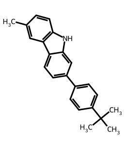 Cc1ccc2[nH]c3cc(-c4ccc(C(C)(C)C)cc4)ccc3c2c1